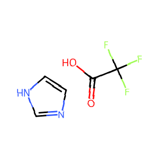 O=C(O)C(F)(F)F.c1c[nH]cn1